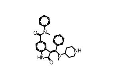 CN(C(=O)c1ccc2c(c1)/C(=C(\c1ccccc1)N(C)C1CCNCC1)C(=O)N2)c1ccccc1